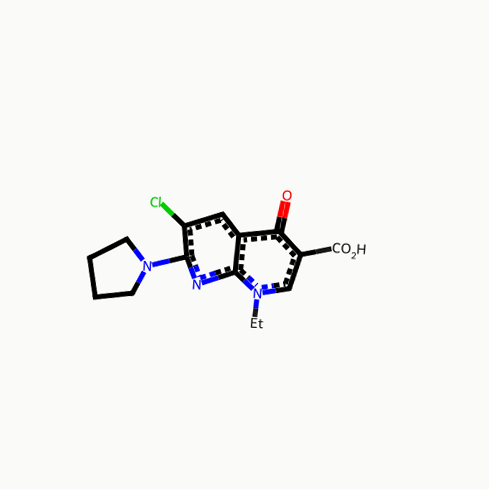 CCn1cc(C(=O)O)c(=O)c2cc(Cl)c(N3CCCC3)nc21